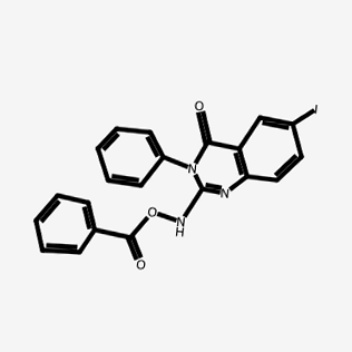 O=C(ONc1nc2ccc(I)cc2c(=O)n1-c1ccccc1)c1ccccc1